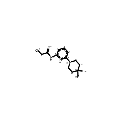 O=C(CCl)Nc1cccc(N2CCC(F)(F)CC2)n1